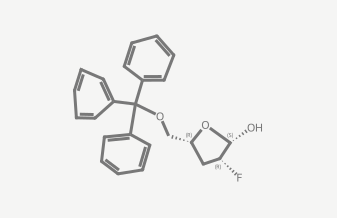 O[C@H]1O[C@@H](COC(c2ccccc2)(c2ccccc2)c2ccccc2)C[C@H]1F